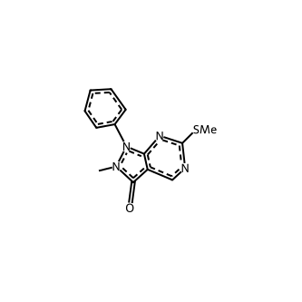 CSc1ncc2c(=O)n(C)n(-c3ccccc3)c2n1